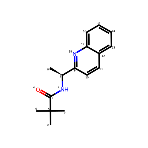 C[C@H](NC(=O)C(C)(C)C)c1ccc2ccccc2n1